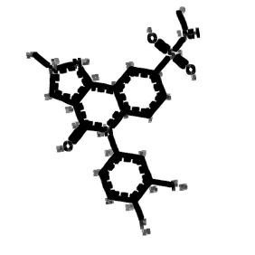 CNS(=O)(=O)c1ccc2c(c1)c1nn(C)cc1c(=O)n2-c1ccc(F)c(F)c1